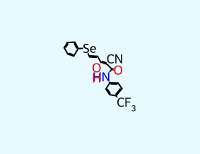 N#CC(C(=O)Nc1ccc(C(F)(F)F)cc1)=C(O)C=C[Se]c1ccccc1